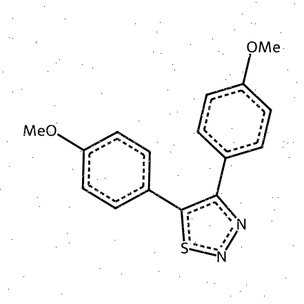 COc1ccc(-c2nnsc2-c2ccc(OC)cc2)cc1